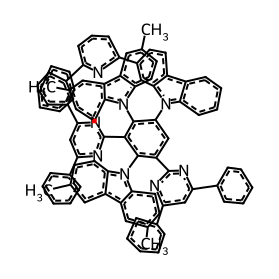 Cc1ccc2c(c1)c1cc(C)ccc1n2-c1c(-c2nc(-c3ccccc3)cc(-c3ccccc3)n2)cc(-n2c3ccccc3c3ccc(-c4cccc(-c5ccccc5)n4)cc32)c(-n2c3ccc(C)cc3c3cc(C)ccc32)c1-c1nc(-c2ccccc2)cc(-c2ccccc2)n1